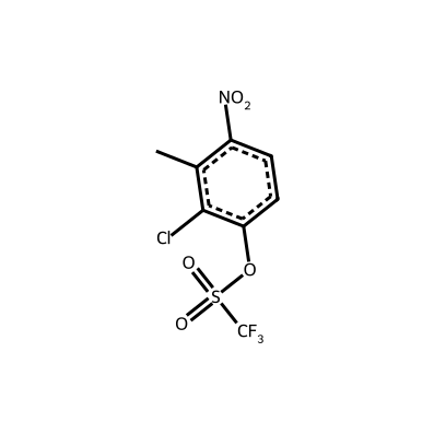 Cc1c([N+](=O)[O-])ccc(OS(=O)(=O)C(F)(F)F)c1Cl